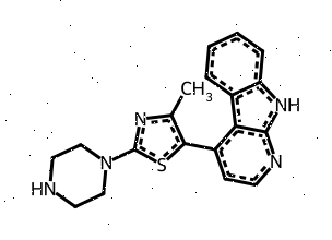 Cc1nc(N2CCNCC2)sc1-c1ccnc2[nH]c3ccccc3c12